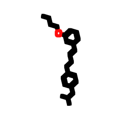 CCCCOc1cccc(/C=C/CCc2ccc(CC(C)C)cc2)c1